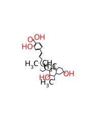 CC[C@@H]1C2C[C@H](O)CC[C@]2(C)C2CC[C@@]3(C)C(CC[C@@H]3[C@H](C)C/C=C/c3ccc(C(=O)O)c(O)c3)C2[C@@H]1O